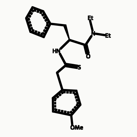 CCN(CC)C(=O)[C@H](Cc1ccccc1)NC(=S)Cc1ccc(OC)cc1